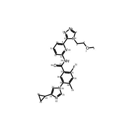 COCCn1cnnc1-c1cccc(NC(=O)c2cc(-n3cnc(C4CC4)c3)c(C)cc2F)n1